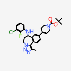 Cc1nnn2c1-c1ccc(C3=CCN(C(=O)OC(C)(C)C)CC3)cc1C(Nc1cccc(Cl)c1F)CC2